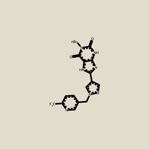 CCCCn1c(=O)[nH]c2nc(-c3cnn(Cc4ccc(C(F)(F)F)nc4)c3)[nH]c2c1=O